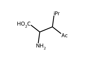 CC(=O)C(C(C)C)C(N)C(=O)O